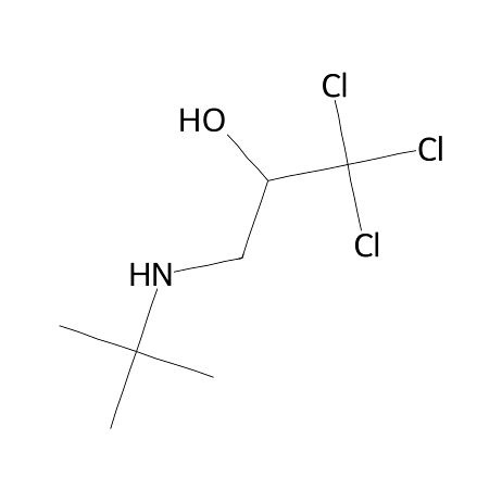 CC(C)(C)NCC(O)C(Cl)(Cl)Cl